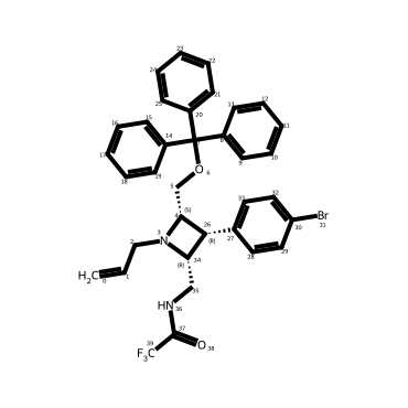 C=CCN1[C@H](COC(c2ccccc2)(c2ccccc2)c2ccccc2)[C@H](c2ccc(Br)cc2)[C@@H]1CNC(=O)C(F)(F)F